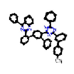 N#Cc1ccc(-c2cccc(-c3nc(-c4ccccc4)nc(-c4ccc(-c5ccccc5-c5nc(-c6ccccc6)c6ccccc6n5)cc4-c4ccccc4)n3)c2)cc1